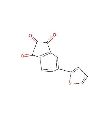 O=c1c(=O)c2ccc(-c3cccs3)cc2c1=O